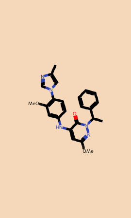 COc1cc(Nc2ccc(-n3cnc(C)c3)c(OC)c2)c(=O)n(C(C)c2ccccc2)n1